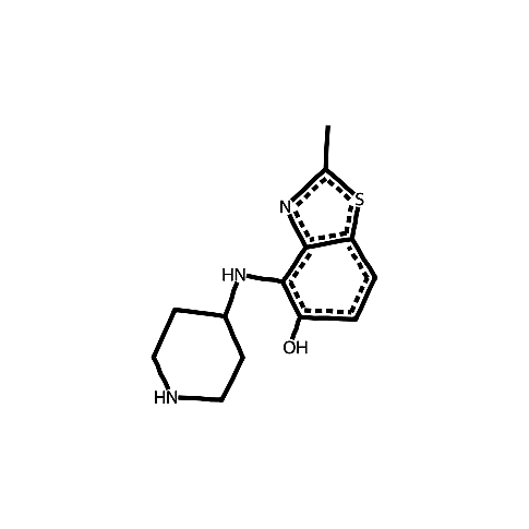 Cc1nc2c(NC3CCNCC3)c(O)ccc2s1